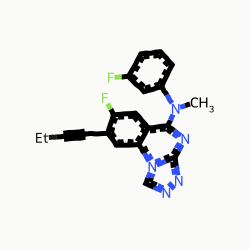 CCC#Cc1cc2c(cc1F)c(N(C)c1cccc(F)c1)nc1nncn12